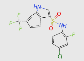 O=S(=O)(Nc1ccc(Cl)cc1F)c1c[nH]c2cc(C(F)(F)F)ccc12